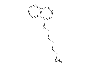 CCCCCCSc1[c]ccc2ccccc12